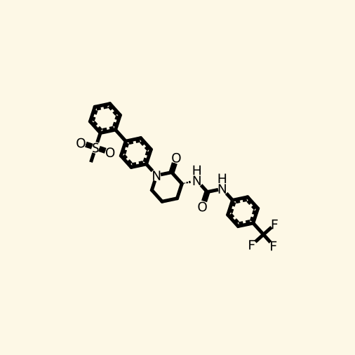 CS(=O)(=O)c1ccccc1-c1ccc(N2CCC[C@@H](NC(=O)Nc3ccc(C(F)(F)F)cc3)C2=O)cc1